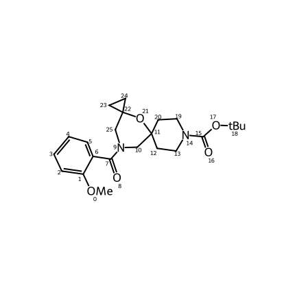 COc1ccccc1C(=O)N1CC2(CCN(C(=O)OC(C)(C)C)CC2)OC2(CC2)C1